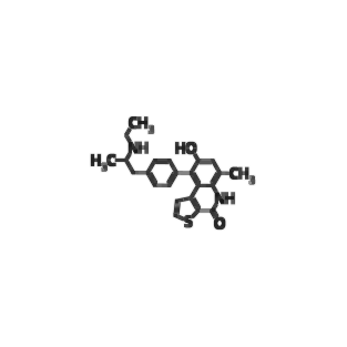 CCNC(C)Cc1ccc(-c2c(O)cc(C)c3[nH]c(=O)c4sccc4c23)cc1